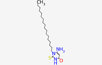 CCCCCCCCCCCCCCCCCCn1c(N)cc(=O)[nH]c1=S